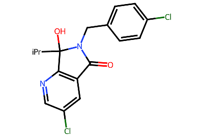 CC(C)C1(O)c2ncc(Cl)cc2C(=O)N1Cc1ccc(Cl)cc1